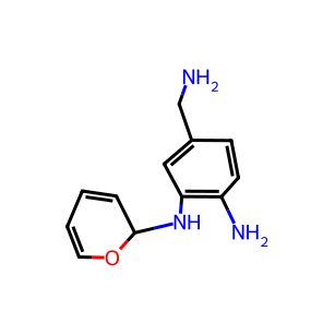 NCc1ccc(N)c(NC2C=CC=CO2)c1